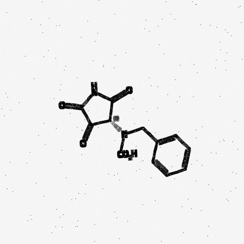 O=C1NC(=O)[C@H](N(Cc2ccccc2)C(=O)O)C1=O